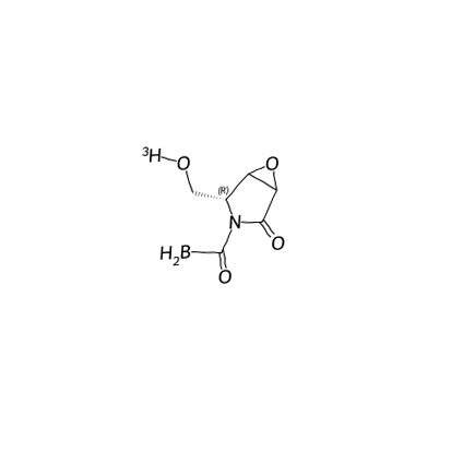 [3H]OC[C@@H]1C2OC2C(=O)N1C(B)=O